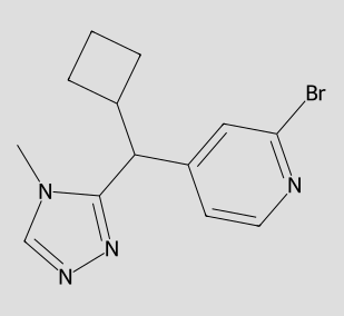 Cn1cnnc1C(c1ccnc(Br)c1)C1CCC1